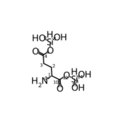 N[C@@H](CCC(=O)O[SiH](O)O)C(=O)O[SiH](O)O